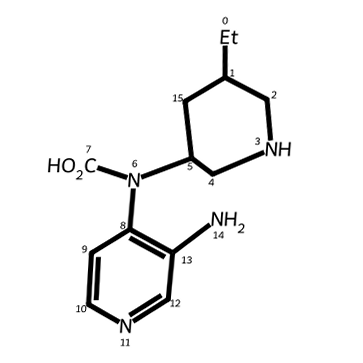 CCC1CNCC(N(C(=O)O)c2ccncc2N)C1